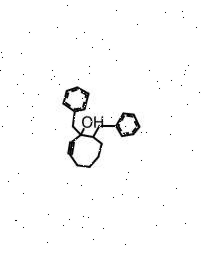 OC1(Cc2ccccc2)C#CCCCCC1Cc1ccccc1